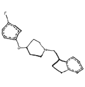 Fc1ccc(OC2CCN(CC3CCc4ccccc43)CC2)cc1